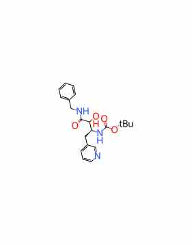 CC(C)(C)OC(=O)N[C@@H](Cc1cccnc1)C(O)C(=O)NCc1ccccc1